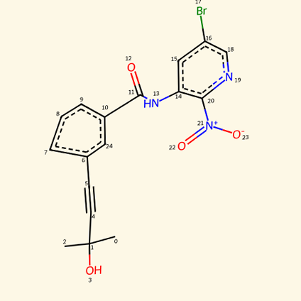 CC(C)(O)C#Cc1cccc(C(=O)Nc2cc(Br)cnc2[N+](=O)[O-])c1